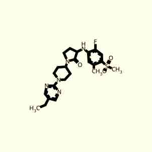 CCc1cnc(N2CCC(N3CCC(Nc4cc(C)c(S(C)(=O)=O)cc4F)C3=O)CC2)nc1